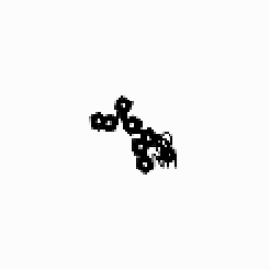 c1ccc(N(c2ccc(-c3cc4c5c6c(cccc36)-c3ccccc3Nc3cccc(c3O5)O4)cc2)c2ccc3ccccc3c2)cc1